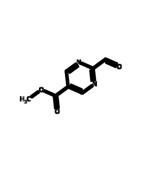 COC(=O)c1cnc(C=O)nc1